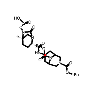 CC(C)(C)OC(=O)N1CC2CC(NC(=O)[C@@H]3CC[C@@H]4CN3C(=O)N4OS(=O)O)CC(C1)N2C(=O)OC(C)(C)C